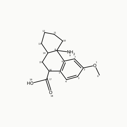 COc1ccc2c(c1)C1(N)CCCCC1CC2C(=O)O